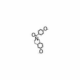 COc1ccc(C(=O)N2CCc3cc(OC)ccc3C2)cc1